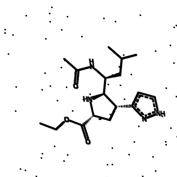 CCOC(=O)[C@H]1C[C@@H](c2cc[nH]n2)[C@H]([C@H](CC(C)C)NC(C)=O)N1